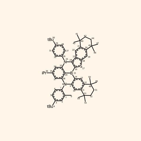 Cc1cc(C(C)(C)C)ccc1N1c2cc3c(cc2B2c4sc5cc6c(cc5c4N(c4ccc(C(C)(C)C)cc4)c4cc(C(C)C)cc1c42)C(C)(C)CCC6(C)C)C(C)(C)CCC3(C)C